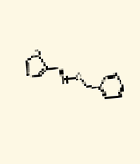 C(=NOCc1ccccc1)c1ccco1